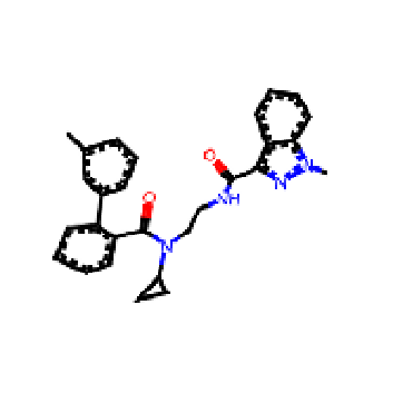 Cc1cccc(-c2ccccc2C(=O)N(CCNC(=O)c2nn(C)c3ccccc23)C2CC2)c1